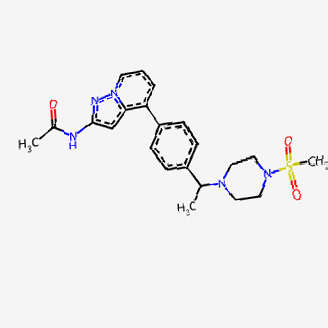 CC(=O)Nc1cc2c(-c3ccc(C(C)N4CCN(S(C)(=O)=O)CC4)cc3)cccn2n1